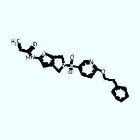 C=CC(=O)Nc1cc2c(o1)CN(S(=O)(=O)c1ccc(OCCc3ccccc3)nc1)C2